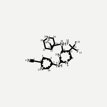 N#Cc1ccc(Nc2ncc(C(F)(F)F)c(NC3CN4CCC3CC4)n2)cn1